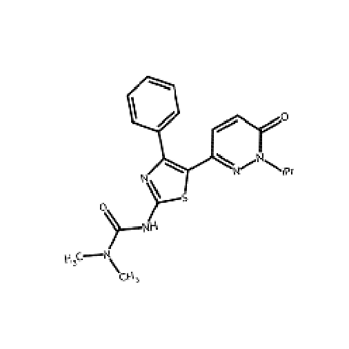 CC(C)n1nc(-c2sc(NC(=O)N(C)C)nc2-c2ccccc2)ccc1=O